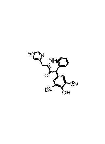 CC(C)(C)c1cc(C(C(=O)[C@@H](N)Cc2c[nH]cn2)c2ccccc2)cc(C(C)(C)C)c1O